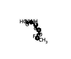 Cc1ccc(F)c(CC(=O)c2cccc(Oc3ccnc(-c4cc(C(=O)NO)c[nH]4)c3)c2)c1